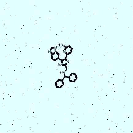 Cc1cccc(-c2nc(CNC(c3ccccc3)c3ccccc3)[nH]c2-c2ccc3ncnn3c2)n1